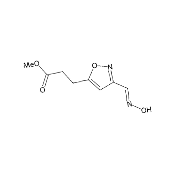 COC(=O)CCc1cc(C=NO)no1